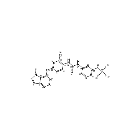 Cn1ccc2ncnc(Oc3ccc(NC(=O)Nc4cccc(SC(F)(F)F)c4)c(Cl)c3)c21